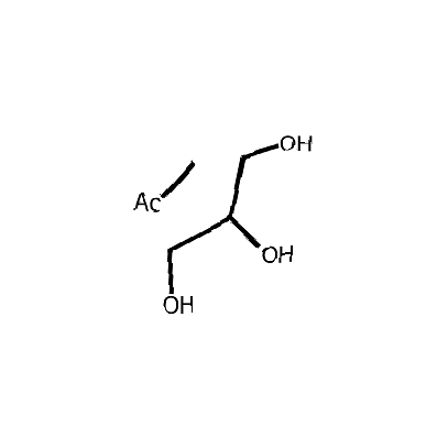 CC(C)=O.OCC(O)CO